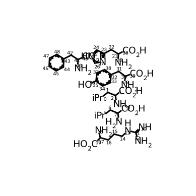 CC(C)CC(N)C(=O)O.CC(C)CC(N)C(=O)O.N=C(N)NCCCC(N)C(=O)O.NC(Cc1c[nH]cn1)C(=O)O.NC(Cc1ccc(O)cc1)C(=O)O.NC(Cc1ccccc1)C(=O)O